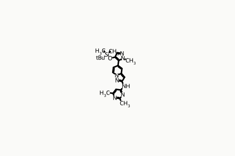 Cc1cc(Nc2cc3cc(-c4c(O[Si](C)(C)C(C)(C)C)cnn4C)ccn3n2)nc(C)n1